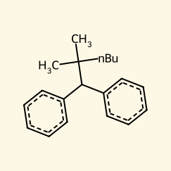 CCCCC(C)(C)C(c1ccccc1)c1ccccc1